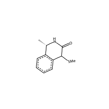 CSC1C(=O)N[C@@H](C)c2ccccc21